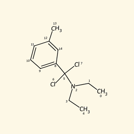 CCN(CC)C(Cl)(Cl)c1cccc(C)c1